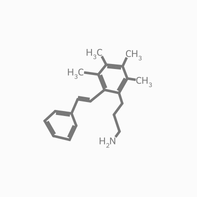 Cc1c(C)c(C)c(CCCN)c(C=Cc2ccccc2)c1C